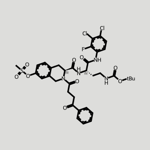 CC(C)(C)OC(=O)NCC[C@H](NC(=O)[C@@H]1Cc2ccc(OS(C)(=O)=O)cc2CN1C(=O)CCC(=O)c1ccccc1)C(=O)Nc1ccc(Cl)c(Cl)c1F